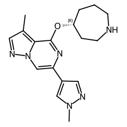 Cc1cnn2cc(-c3cnn(C)c3)nc(O[C@@H]3CCCNCC3)c12